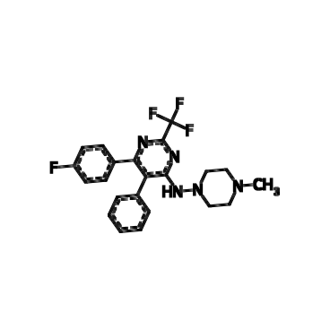 CN1CCN(Nc2nc(C(F)(F)F)nc(-c3ccc(F)cc3)c2-c2ccccc2)CC1